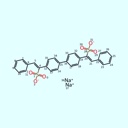 O=S(=O)([O-])C(=Cc1ccccc1)c1ccc(-c2ccc(C(=Cc3ccccc3)S(=O)(=O)[O-])cc2)cc1.[Na+].[Na+]